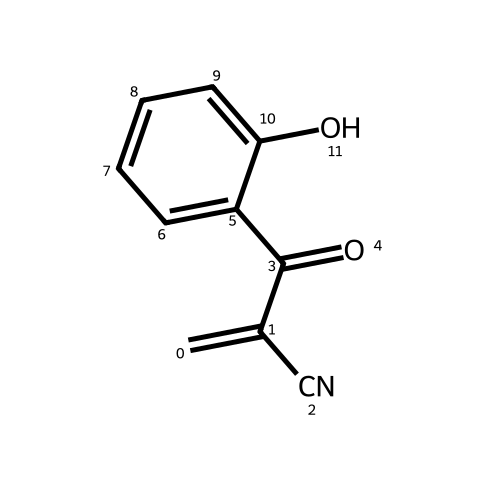 C=C(C#N)C(=O)c1ccccc1O